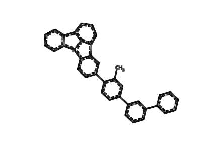 Cc1cc(-c2cccc(-c3ccccc3)c2)ccc1-c1ccc2c(c1)c1cccc3c4ccccc4n2c31